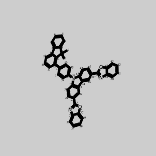 CC1(C)c2ccccc2-c2cccc(-c3ccc(-n4c5ccc(-c6nc7ccccc7o6)cc5c5cc(-c6nc7ccccc7o6)ccc54)cc3)c21